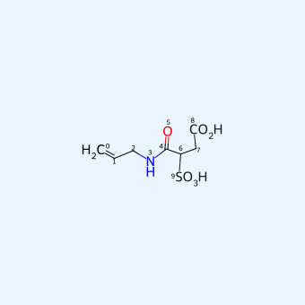 C=CCNC(=O)C(CC(=O)O)S(=O)(=O)O